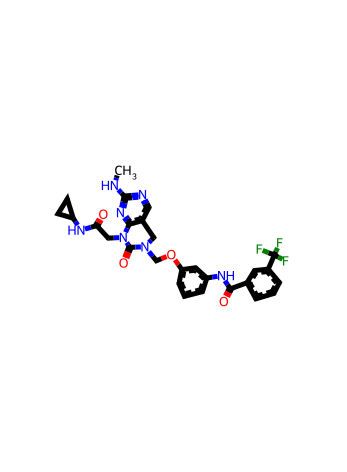 CNc1ncc2c(n1)N(CC(=O)NC1CC1)C(=O)N(COc1cccc(NC(=O)c3cccc(C(F)(F)F)c3)c1)C2